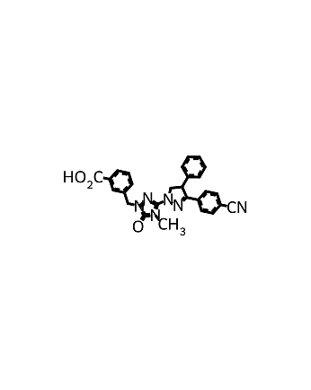 Cn1c(N2CC(c3ccccc3)C(c3ccc(C#N)cc3)=N2)nn(Cc2cccc(C(=O)O)c2)c1=O